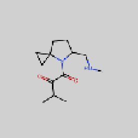 CNCC1CCC2(CC2)N1C(=O)C(=O)C(C)C